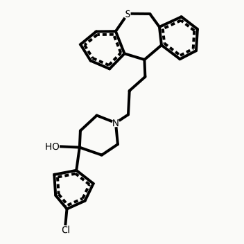 OC1(c2ccc(Cl)cc2)CCN(CCCC2c3ccccc3CSc3ccccc32)CC1